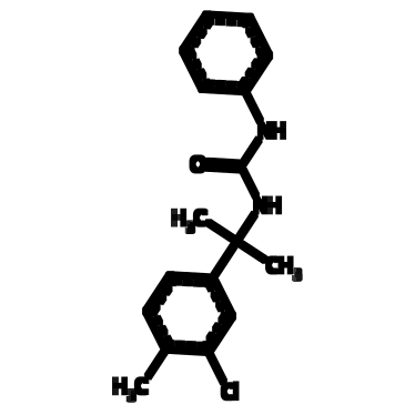 Cc1ccc(C(C)(C)NC(=O)Nc2ccccc2)cc1Cl